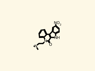 CN(C)CCn1c(=O)c2[nH]c3ccc([N+](=O)[O-])cc3c2c2ccccc21